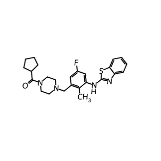 Cc1c(CN2CCN(C(=O)C3CCCC3)CC2)cc(F)cc1Nc1nc2ccccc2s1